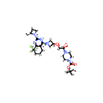 C[C@H]1CCN1c1nc(N2CC(OCC(=O)N3CCN(C(=O)OC(C)(C)C)CC3)C2)c2c(n1)C(F)(F)CCC2